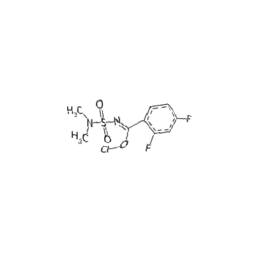 CN(C)S(=O)(=O)N=C(OCl)c1ccc(F)cc1F